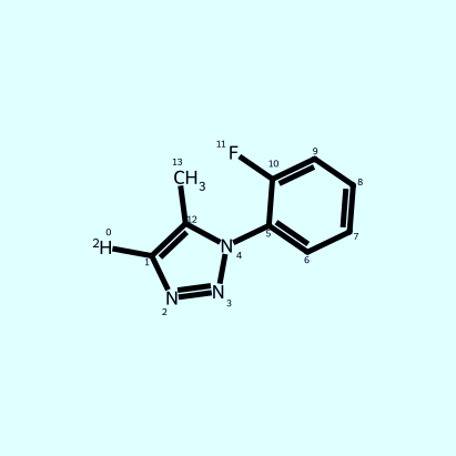 [2H]c1nnn(-c2ccccc2F)c1C